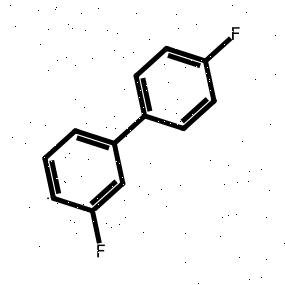 Fc1[c]ccc(-c2ccc(F)cc2)c1